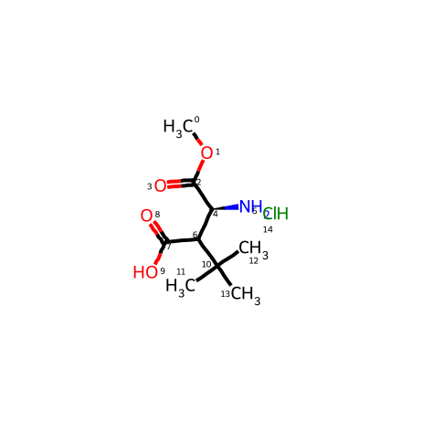 COC(=O)[C@@H](N)C(C(=O)O)C(C)(C)C.Cl